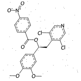 COc1ccc([C@H](Cc2c(Cl)cncc2Cl)OC(=O)c2ccc([N+](=O)[O-])cc2)cc1OC